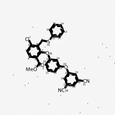 COC(=O)c1ccc(Cl)c(CSc2ccccc2)c1Oc1cccc(Oc2cc(C#N)cc(C#N)c2)c1